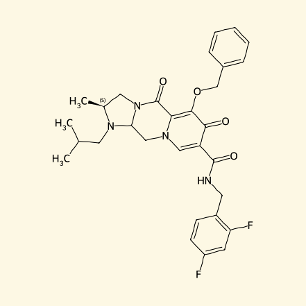 CC(C)CN1C2Cn3cc(C(=O)NCc4ccc(F)cc4F)c(=O)c(OCc4ccccc4)c3C(=O)N2C[C@@H]1C